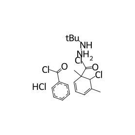 CC(C)(C)NN.CC1=CC=CC(C)(C(=O)Cl)C1Cl.Cl.O=C(Cl)c1ccccc1